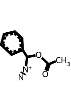 CC(=O)OC([N+]#N)c1ccccc1